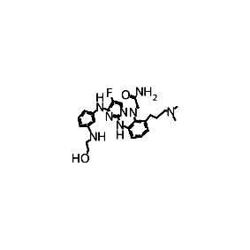 CN(C)CCCc1cccc(Nc2ncc(F)c(Nc3cccc(NCCO)c3)n2)c1N=CC(N)=O